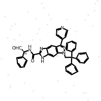 O=C[C@@H](NC(=O)c1nc2cc3c(-c4ccncc4)nn(CC(c4ccccc4)(c4ccccc4)c4ccccc4)c3cc2[nH]1)c1ccccc1